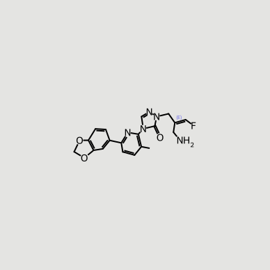 Cc1ccc(-c2ccc3c(c2)OCO3)nc1-n1cnn(C/C(=C/F)CN)c1=O